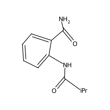 CC(C)C(=O)Nc1ccccc1C(N)=O